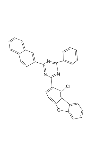 Clc1c(-c2nc(-c3ccccc3)nc(-c3ccc4ccccc4c3)n2)ccc2oc3ccccc3c12